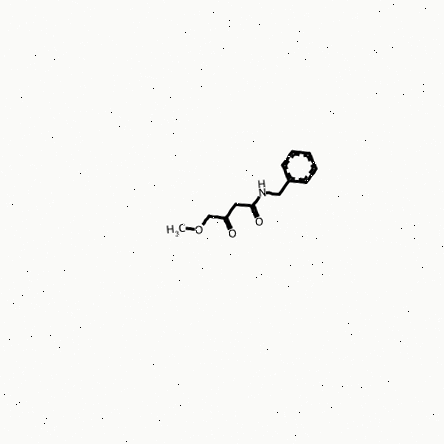 COCC(=O)CC(=O)NCc1ccccc1